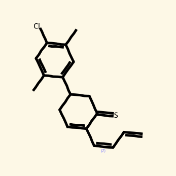 C=C/C=C\C1=CCC(c2cc(C)c(Cl)cc2C)CC1=S